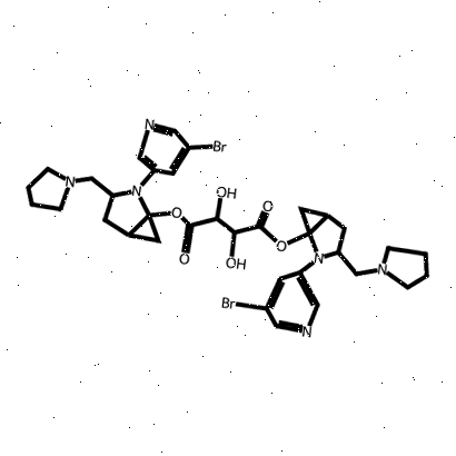 O=C(OC12CC1CC(CN1CCCC1)N2c1cncc(Br)c1)C(O)C(O)C(=O)OC12CC1CC(CN1CCCC1)N2c1cncc(Br)c1